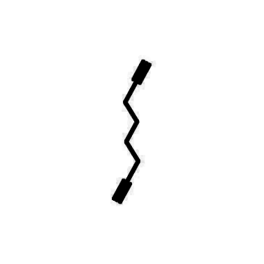 C#CCCCCC#C